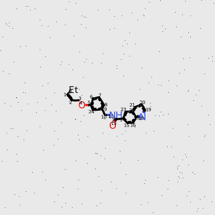 CC/C=C\COc1cccc(CNC(=O)c2ccc3ncccc3c2)c1